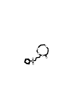 O=C1CCCCCCCCCCC(CCCS(=O)(=O)c2ccccc2)O1